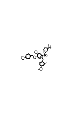 COc1ccc(COc2cn(Cc3ccc(OC)cc3C)c(C(=O)N3CC[C@@H](N(C)C)C3)cc2=O)cc1